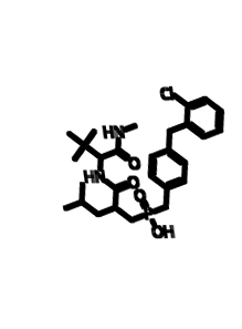 CNC(=O)C(NC(=O)C(CC(C)C)CP(=O)(O)Cc1ccc(Cc2ccccc2Cl)cc1)C(C)(C)C